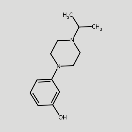 CC(C)N1CCN(c2cccc(O)c2)CC1